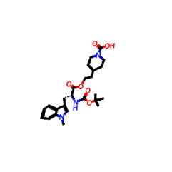 Cn1cc(C[C@@H](NC(=O)OC(C)(C)C)C(=O)OCCC2CCN(C(=O)O)CC2)c2ccccc21